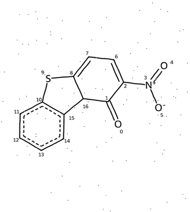 O=C1C([N+](=O)[O-])=CC=C2Sc3ccccc3C12